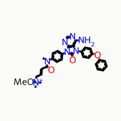 CO[N+](C)(C)C/C=C/C(=O)N(C)c1ccc(-n2c(=O)n(-c3ccc(Oc4ccccc4)cc3)c3c(N)ncnc32)cc1